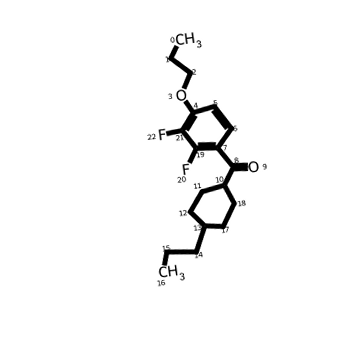 CCCOc1ccc(C(=O)C2CCC(CCC)CC2)c(F)c1F